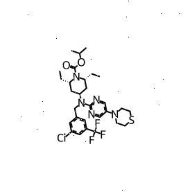 CC[C@@H]1C[C@@H](N(Cc2cc(Cl)cc(C(F)(F)F)c2)c2ncc(N3CCSCC3)cn2)C[C@H](CC)N1C(=O)OC(C)C